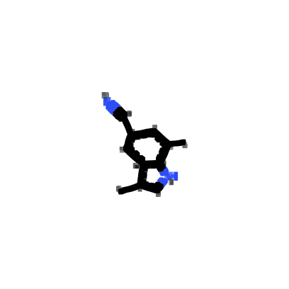 Cc1c[nH]c2c(C)cc(C#N)cc12